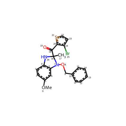 COc1ccc2c(c1)N(OCc1ccccc1)C(C)(C(=O)c1sccc1Br)N2